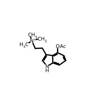 CC(=O)Oc1cccc2[nH]cc(CC[N+](C)(C)C)c12